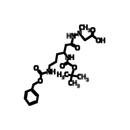 CN(CC(=O)O)NC(=O)CC(CCCNC(=O)OCc1ccccc1)NC(=O)OC(C)(C)C